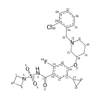 O=C(NS(=O)(=O)N1CCC1)c1cc(C2CC2)c(OC2CCCN(Cc3ccccc3Cl)C2)cc1F